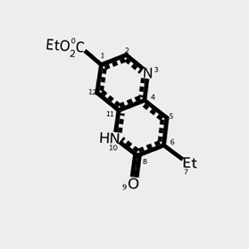 CCOC(=O)c1cnc2cc(CC)c(=O)[nH]c2c1